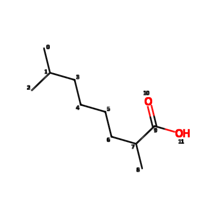 CC(C)CCCCC(C)C(=O)O